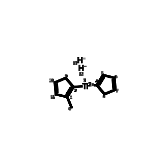 CC1=[C]([Ti+2][C]2=CC=CC2)CC=C1.[H-].[H-]